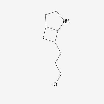 [O]CCCC1CC2CCNC12